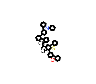 CCC(Cc1ccccc1-c1c(C)cccc1-c1ccc2c(c1)c1ccccc1n2-c1ccccc1)c1cc(-c2ccc3oc4ccccc4c3c2)c2sc3ccccc3c2c1